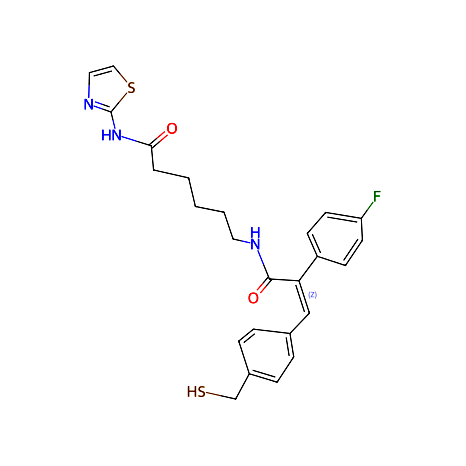 O=C(CCCCCNC(=O)/C(=C\c1ccc(CS)cc1)c1ccc(F)cc1)Nc1nccs1